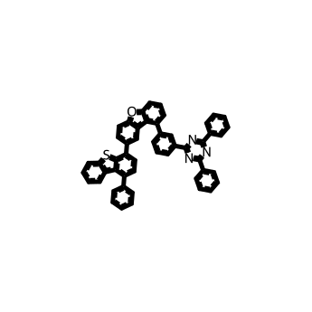 c1ccc(-c2nc(-c3ccccc3)nc(-c3cccc(-c4cccc5oc6ccc(-c7ccc(-c8ccccc8)c8c7sc7ccccc78)cc6c45)c3)n2)cc1